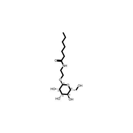 CCCCCCC(=O)NCCO[C@H]1O[C@H](CO)[C@@H](O)[C@H](O)[C@@H]1O